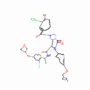 CC(NC(=O)c1c2n(c(=O)n1-c1ccc(OCC(F)(F)F)cc1)CCN(C(=O)c1ccc(Br)c(Cl)c1)C2)c1ccc(OC2COC2)cc1F